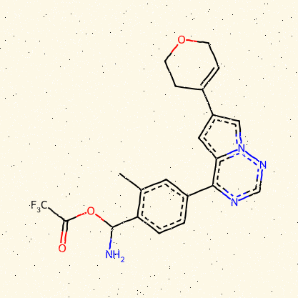 Cc1cc(-c2ncnn3cc(C4=CCOCC4)cc23)ccc1C(N)OC(=O)C(F)(F)F